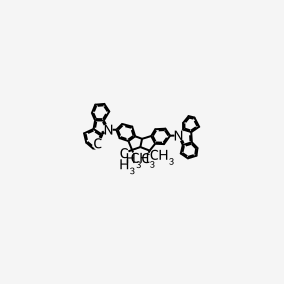 CC1(C)c2cc(-n3c4ccccc4c4ccccc43)ccc2C2c3ccc(-n4c5ccccc5c5ccccc54)cc3C(C)(C)C21